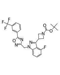 CC(C)(C)OC(=O)N1CC(c2nn(Cc3noc(-c4cccc(C(F)(F)F)c4)n3)c3cccc(F)c23)C1